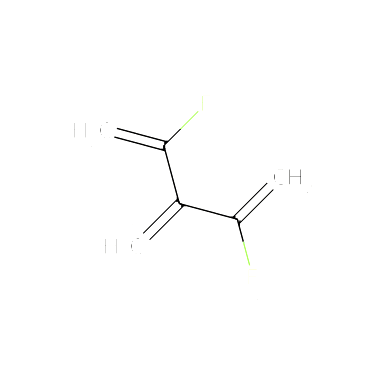 C=C(F)C(=C)C(=C)F